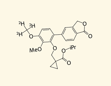 [2H]C([2H])([2H])Oc1ccc(-c2ccc3c(c2)COC3=O)c(OCC2(C(=O)OC(C)C)CC2)c1OC